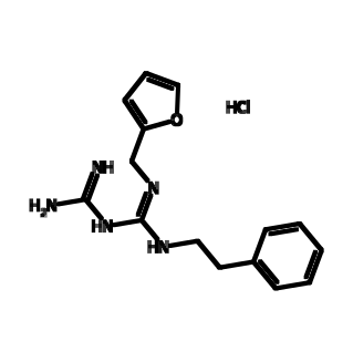 Cl.N=C(N)NC(=NCc1ccco1)NCCc1ccccc1